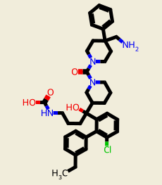 CCc1cccc(-c2c(Cl)cccc2C(O)(CCCNC(=O)O)C2CCCN(C(=O)N3CCC(CN)(c4ccccc4)CC3)C2)c1